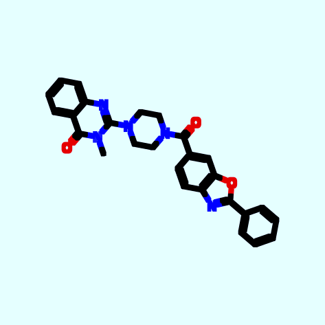 Cn1c(N2CCN(C(=O)c3ccc4nc(-c5ccccc5)oc4c3)CC2)nc2ccccc2c1=O